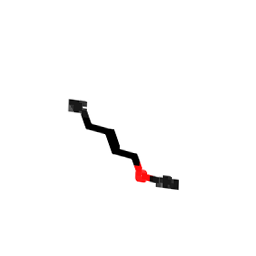 CCCCOCC=CCC#N